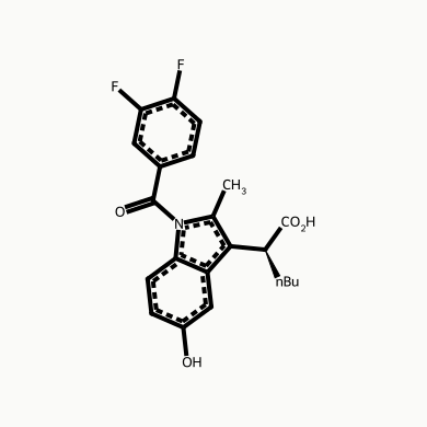 CCCC[C@H](C(=O)O)c1c(C)n(C(=O)c2ccc(F)c(F)c2)c2ccc(O)cc12